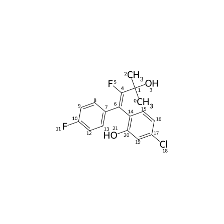 CC(C)(O)C(F)=C(c1ccc(F)cc1)c1ccc(Cl)cc1O